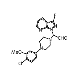 COc1cc(N2CCN(C(C=O)n3nc(F)c4cccnc43)CC2)ccc1Cl